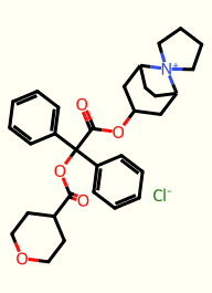 O=C(OC(C(=O)OC1CC2CCC(C1)[N+]21CCCC1)(c1ccccc1)c1ccccc1)C1CCOCC1.[Cl-]